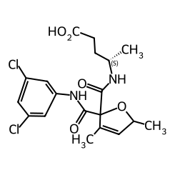 CC1=CC(C)OC1(C(=O)Nc1cc(Cl)cc(Cl)c1)C(=O)N[C@@H](C)CCC(=O)O